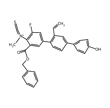 C=Cc1cc(-c2ccc(O)cc2)ccc1-c1cc(F)c([N+](C)=C=S)c(C(=O)OCc2ccccc2)c1